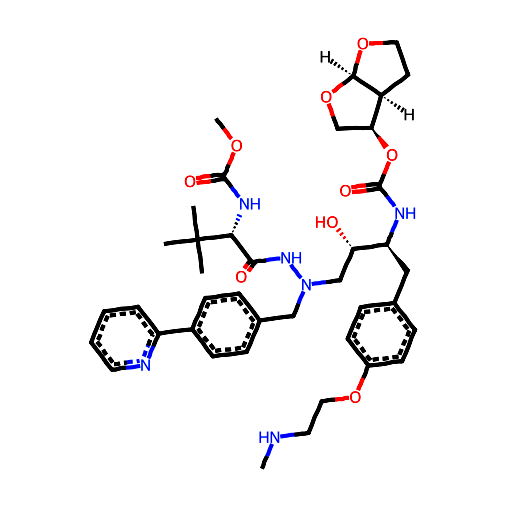 CNCCOc1ccc(C[C@H](NC(=O)O[C@H]2CO[C@H]3OCC[C@H]32)[C@@H](O)CN(Cc2ccc(-c3ccccn3)cc2)NC(=O)[C@@H](NC(=O)OC)C(C)(C)C)cc1